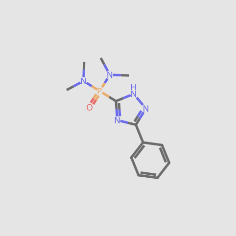 CN(C)P(=O)(c1nc(-c2ccccc2)n[nH]1)N(C)C